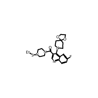 CCSN1CCN(C(=O)c2cnc3ccc(F)cc3c2N2CCC3(CC2)OCCO3)CC1